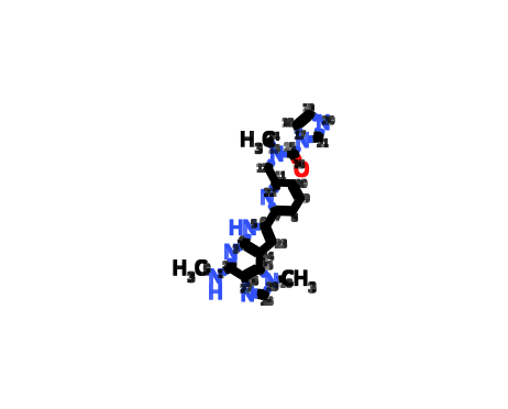 CNc1nc2[nH]c(-c3cccc(CN(C)C(=O)n4ccnc4)n3)cc2c2c1ncn2C